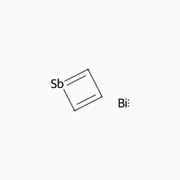 C1=[CH][Sb]=[CH]1.[Bi]